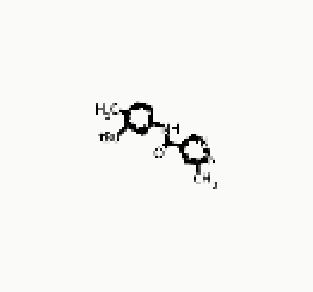 Cc1cc(C(=O)Nc2ccc(C)c(C(C)(C)C)c2)cnn1